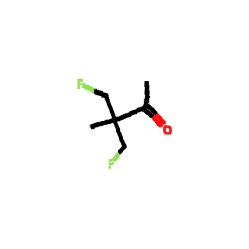 CC(=O)C(C)(CF)CF